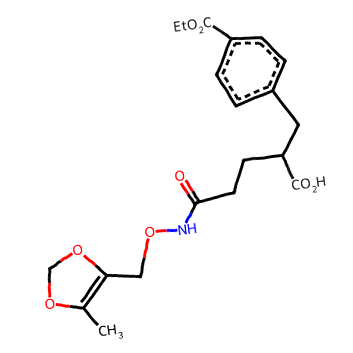 CCOC(=O)c1ccc(CC(CCC(=O)NOCC2=C(C)OCO2)C(=O)O)cc1